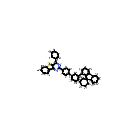 c1ccc(-c2nc(-c3ccc(-c4cccc(-c5cccc6c5C5(CCCCC5)c5ccccc5-6)c4)cc3)nc3c2sc2ccccc23)cc1